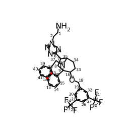 NCCn1nnc(C2CC3(c4ccccc4)C(OCc4cc(C(F)(F)F)cc(C(F)(F)F)c4)CCC2N3Cc2ccccc2)n1